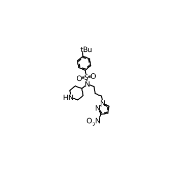 CC(C)(C)c1ccc(S(=O)(=O)N(CCCn2ccc([N+](=O)[O-])n2)C2CCNCC2)cc1